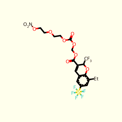 CCc1cc(S(F)(F)(F)(F)F)cc2c1OC(C(F)(F)F)C(C(=O)OCOC(=O)OCCOCCO[N+](=O)[O-])=C2